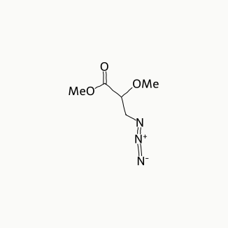 COC(=O)C(CN=[N+]=[N-])OC